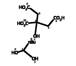 CCCCC(O)O.O=C(O)CC(O)(CC(=O)O)C(=O)O